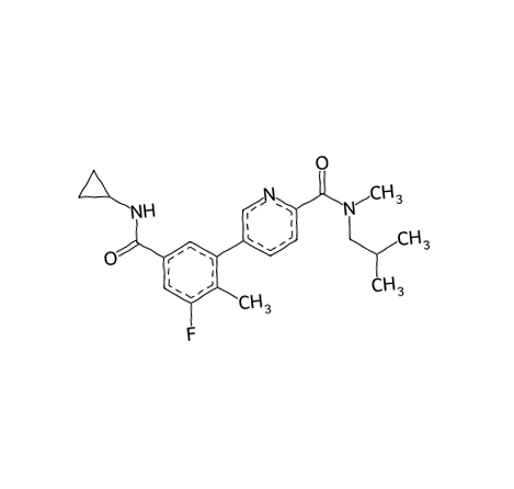 Cc1c(F)cc(C(=O)NC2CC2)cc1-c1ccc(C(=O)N(C)CC(C)C)nc1